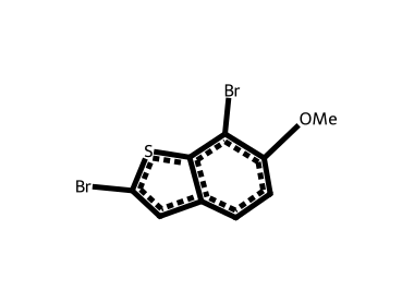 COc1ccc2cc(Br)sc2c1Br